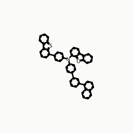 c1cc(-c2ccc(N(c3ccc(-c4cccc5c4sc4ccccc45)cc3)c3cccc4c3oc3ccccc34)cc2)cc(-c2cccc3ccccc23)c1